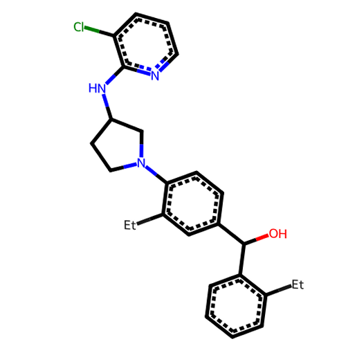 CCc1ccccc1C(O)c1ccc(N2CCC(Nc3ncccc3Cl)C2)c(CC)c1